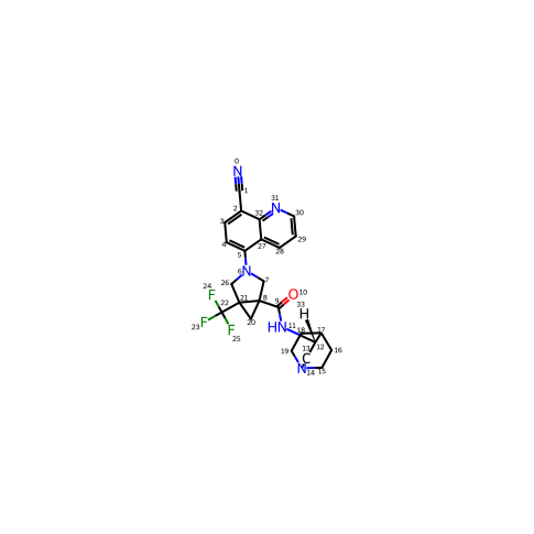 N#Cc1ccc(N2CC3(C(=O)N[C@H]4CN5CCC4CC5)CC3(C(F)(F)F)C2)c2cccnc12